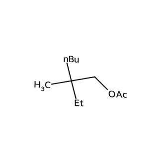 CCCCC(C)(CC)COC(C)=O